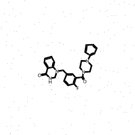 O=C1NCN(Cc2ccc(F)c(C(=O)N3CCN(c4ccccc4)CC3)c2)c2ccccc21